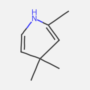 CC1=CC(C)(C)C=CN1